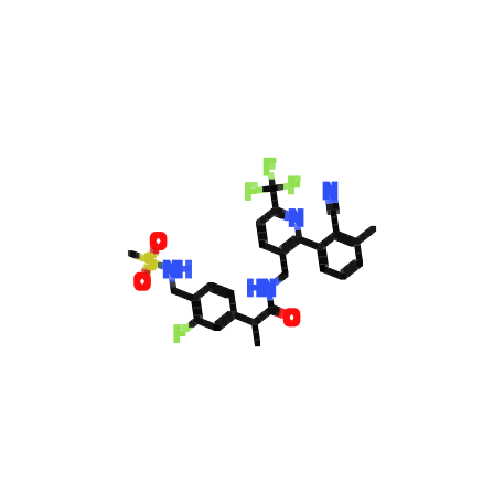 Cc1cccc(-c2nc(C(F)(F)F)ccc2CNC(=O)C(C)c2ccc(CNS(C)(=O)=O)c(F)c2)c1C#N